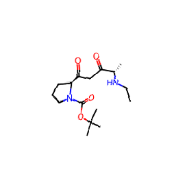 CCN[C@@H](C)C(=O)CC(=O)[C@@H]1CCCN1C(=O)OC(C)(C)C